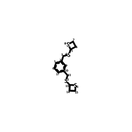 c1cc(CSC2CCS2)cc(CSC2CCS2)c1